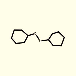 C1CCC(OOC2CCCCC2)CC1